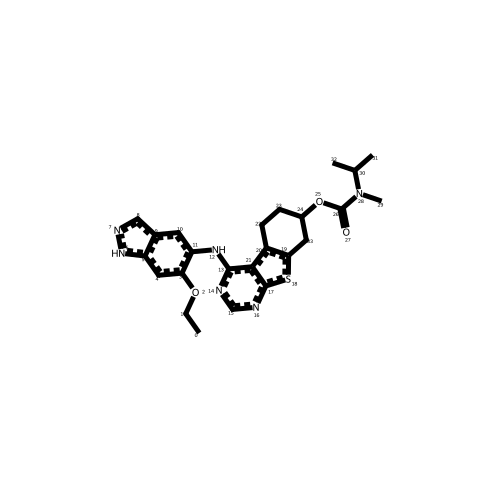 CCOc1cc2[nH]ncc2cc1Nc1ncnc2sc3c(c12)CCC(OC(=O)N(C)C(C)C)C3